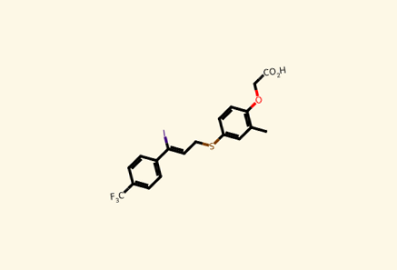 Cc1cc(SCC=C(I)c2ccc(C(F)(F)F)cc2)ccc1OCC(=O)O